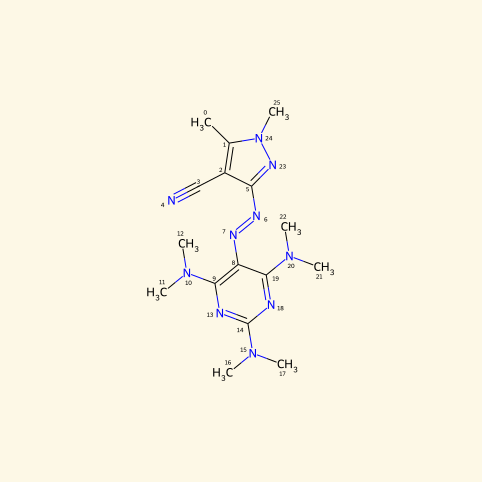 Cc1c(C#N)c(N=Nc2c(N(C)C)nc(N(C)C)nc2N(C)C)nn1C